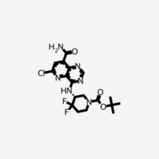 CC(C)(C)OC(=O)N1CCC(F)(F)[C@H](Nc2ncnc3c(C(N)=O)cc(Cl)nc23)C1